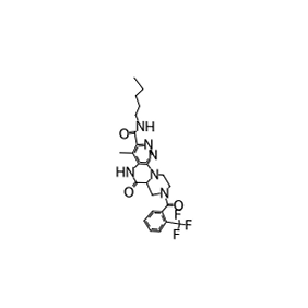 CCCCCNC(=O)c1nnc2c(c1C)NC(=O)C1CN(C(=O)c3ccccc3C(F)(F)F)CCN21